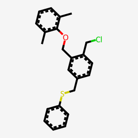 Cc1cccc(C)c1OCc1cc(CSc2ccccc2)ccc1CCl